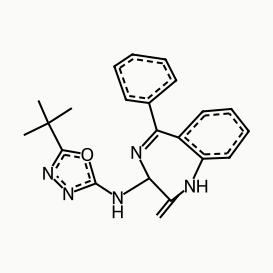 C=C1Nc2ccccc2C(c2ccccc2)=NC1Nc1nnc(C(C)(C)C)o1